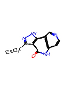 CCOC(=O)c1n[nH]c2c1c(=O)[nH]c1ccncc12